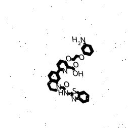 Nc1cccc(OCCOc2ccc(-c3ccc4c(c3)N(C(=O)Nc3nc5ccccc5s3)CCC4)nc2C(=O)O)c1